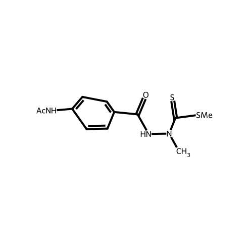 CSC(=S)N(C)NC(=O)c1ccc(NC(C)=O)cc1